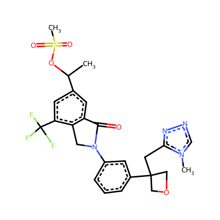 CC(OS(C)(=O)=O)c1cc2c(c(C(F)(F)F)c1)CN(c1cccc(C3(Cc4nncn4C)COC3)c1)C2=O